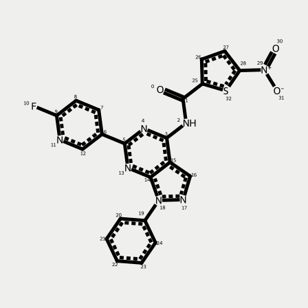 O=C(Nc1nc(-c2ccc(F)nc2)nc2c1cnn2-c1ccccc1)c1ccc([N+](=O)[O-])s1